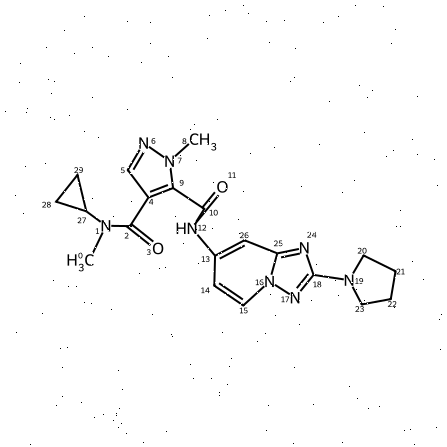 CN(C(=O)c1cnn(C)c1C(=O)Nc1ccn2nc(N3CCCC3)nc2c1)C1CC1